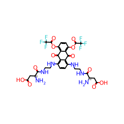 N[C@@H](CC(=O)O)C(=O)NCCNc1ccc(NCCNC(=O)[C@@H](N)CC(=O)O)c2c1C(=O)c1c(OC(=O)C(F)(F)F)ccc(OC(=O)C(F)(F)F)c1C2=O